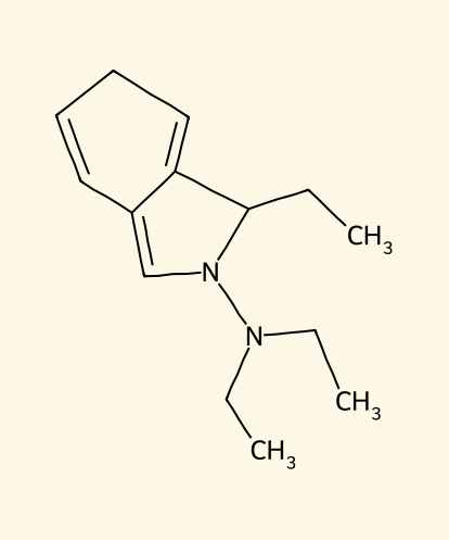 CCC1C2=CCC=CC2=CN1N(CC)CC